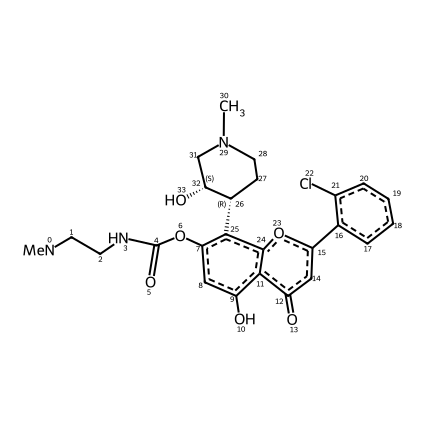 CNCCNC(=O)Oc1cc(O)c2c(=O)cc(-c3ccccc3Cl)oc2c1[C@H]1CCN(C)C[C@H]1O